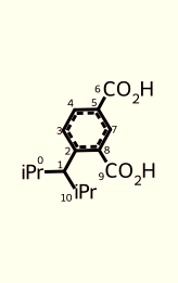 CC(C)C(c1ccc(C(=O)O)cc1C(=O)O)C(C)C